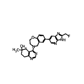 CC1(C)CCc2ncnc(N3CCOc4ccc(-c5cnc6[nH]c(CF)nc6c5)cc4C3)c2C1